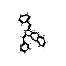 C(/c1ccccc1)=c1/s/c(=C/c2ccccc2)c2nc3ccccc3nc12